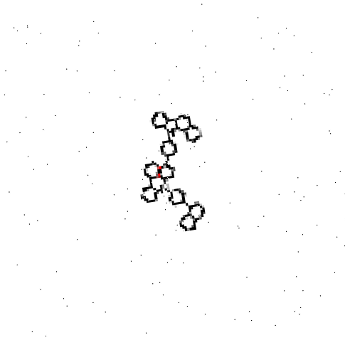 C1=CC2c3ccccc3N(c3ccc(-c4ccc(N(c5ccc(-c6cccc7ccccc67)cc5)c5ccccc5-c5ccccc5)cc4)cc3)C2c2ccccc21